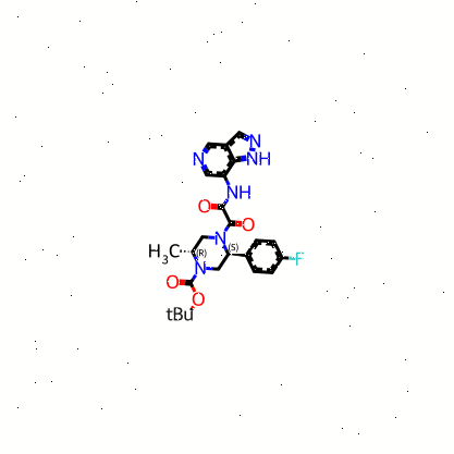 C[C@@H]1CN(C(=O)C(=O)Nc2cncc3cn[nH]c23)[C@@H](c2ccc(F)cc2)CN1C(=O)OC(C)(C)C